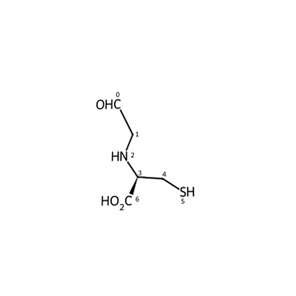 O=CCN[C@@H](CS)C(=O)O